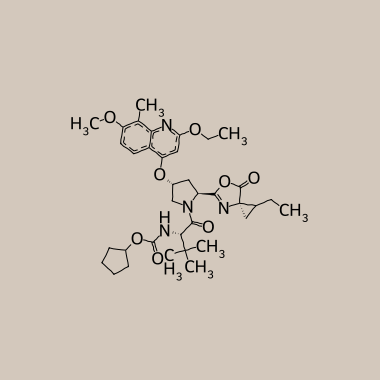 CCOc1cc(O[C@@H]2C[C@@H](C3=N[C@@]4(CC4CC)C(=O)O3)N(C(=O)[C@@H](NC(=O)OC3CCCC3)C(C)(C)C)C2)c2ccc(OC)c(C)c2n1